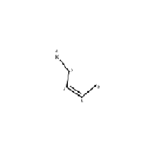 C/C=C\[CH2][K]